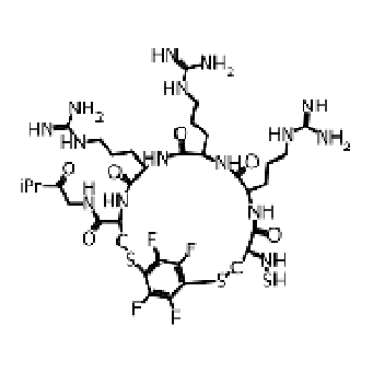 CC(C)C(=O)CNC(=O)C1CSc2c(F)c(F)c(c(F)c2F)SCC(NS)C(=O)NC(CCCNC(=N)N)C(=O)NC(CCCNC(=N)N)C(=O)NC(CCCNC(=N)N)C(=O)N1